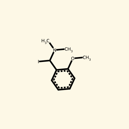 COc1ccccc1C(I)N(C)C